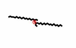 CCCCCCCCCCCCCCCCC(CC)OC(CC)CCCCCCCCCCCCCCCC